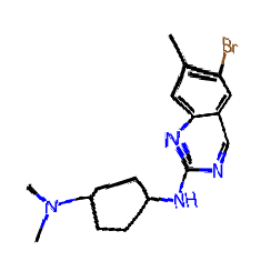 Cc1cc2nc(NC3CCC(N(C)C)CC3)ncc2cc1Br